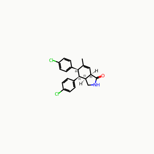 CC1=C[C@H]2C(=O)NC[C@H]2[C@@H](c2ccc(Cl)cc2)[C@H]1c1ccc(Cl)cc1